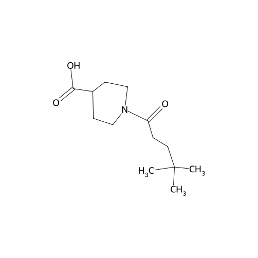 CC(C)(C)CCC(=O)N1CCC(C(=O)O)CC1